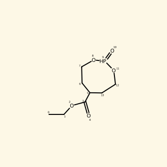 CCOC(=O)C1CCO[PH](=O)OCC1